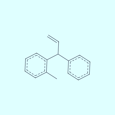 C=CC(c1ccccc1)c1ccccc1C